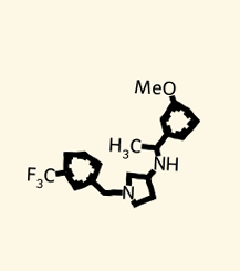 COc1cccc(C(C)NC2CCN(Cc3cccc(C(F)(F)F)c3)C2)c1